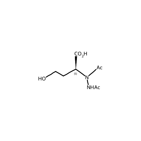 CC(=O)NN(C(C)=O)[C@@H](CCO)C(=O)O